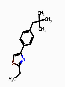 CCc1nc(-c2ccc(CC(C)(C)C)cc2)cs1